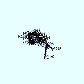 CCCCCCCCCCCCC/C=C/[C@@H](O)[C@H](CO[C@@H]1OC(CO)[C@@H](O[C@@H]2OC(CO)[C@H](O[C@@H]3OC(CO)[C@H](O)[C@H](O[C@@H]4OC(CO)[C@H](O)[C@H](O[C@]5(C(=O)O)CC(O)[C@@H](NC(C)=O)C([C@H](O)[C@@H](CO)O[C@]6(C(=O)O)CC(O)[C@@H](NC(C)=O)C([C@H](O)[C@H](O)CO)O6)O5)C4O)C3NC(C)=O)[C@H](O)C2O)[C@H](O)C1O)NC(=O)CCCCCCCCCCCCCCCCCCC